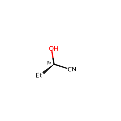 CC[C@@H](O)C#N